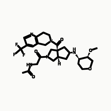 CO[C@@H]1COCC[C@@H]1N[C@@H]1C[C@H]2CN(C(=O)CNC(C)=O)C[C@@]2(C(=O)N2CCc3ncc(C(F)(F)F)cc3C2)C1